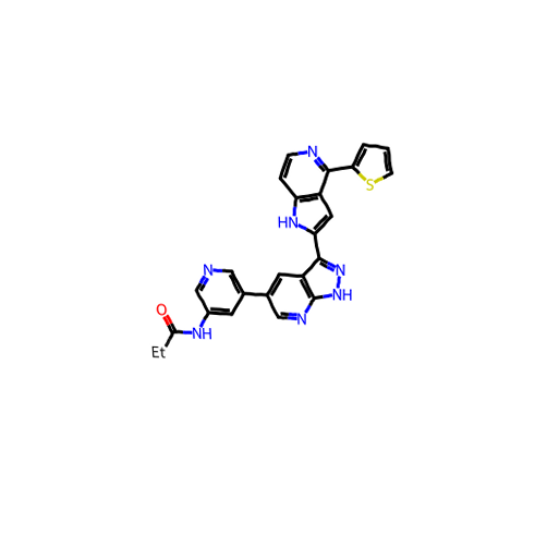 CCC(=O)Nc1cncc(-c2cnc3[nH]nc(-c4cc5c(-c6cccs6)nccc5[nH]4)c3c2)c1